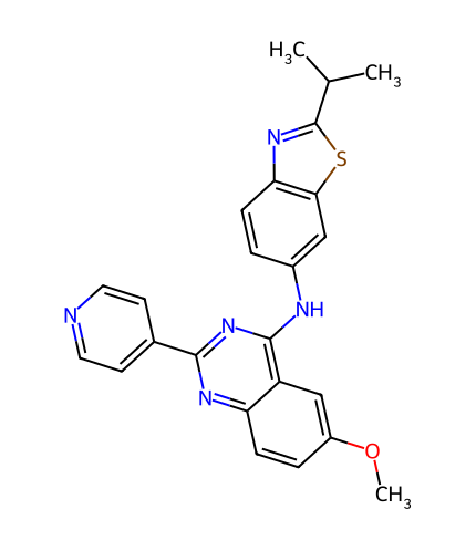 COc1ccc2nc(-c3ccncc3)nc(Nc3ccc4nc(C(C)C)sc4c3)c2c1